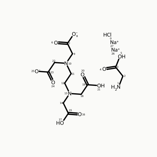 Cl.NCC(=O)O.O=C([O-])CN(CCN(CC(=O)O)CC(=O)O)CC(=O)[O-].[Na+].[Na+]